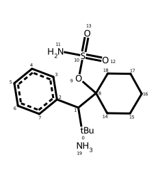 CC(C)(C)C(c1ccccc1)C1(OS(N)(=O)=O)CCCCC1.N